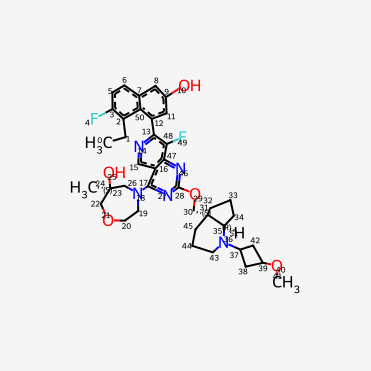 CCc1c(F)ccc2cc(O)cc(-c3ncc4c(N5CCOC[C@@](C)(O)C5)nc(OC[C@]56CCC[C@H]5N(C5CC(OC)C5)CCC6)nc4c3F)c12